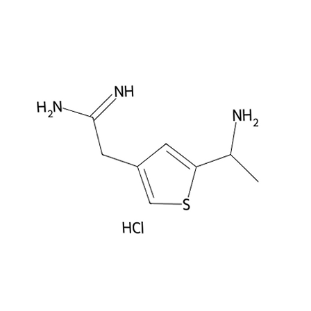 CC(N)c1cc(CC(=N)N)cs1.Cl